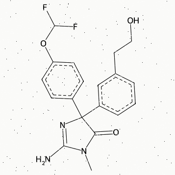 CN1C(=O)C(c2ccc(OC(F)F)cc2)(c2cccc(CCO)c2)N=C1N